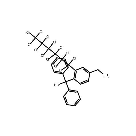 CCc1ccc(C(O)(c2ccccc2)c2ccccc2)c(C(Cl)(Cl)C(Cl)(Cl)C(Cl)(Cl)C(Cl)(Cl)C(Cl)(Cl)C(Cl)(Cl)Cl)c1